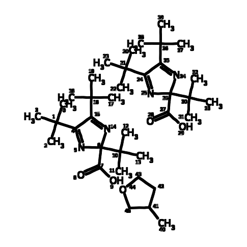 CC(C)(C)C1=NC(C(=O)O)(C(C)(C)C)N=C1C(C)(C)C.CC(C)(C)C1=NC(C(=O)O)(C(C)(C)C)N=C1C(C)(C)C.CC1CCOC1